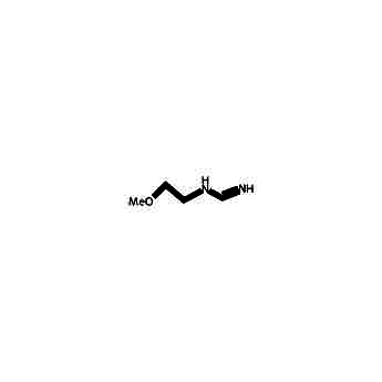 COCCNC=N